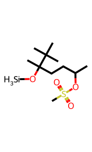 CC(CCC(C)(O[SiH3])C(C)(C)C)OS(C)(=O)=O